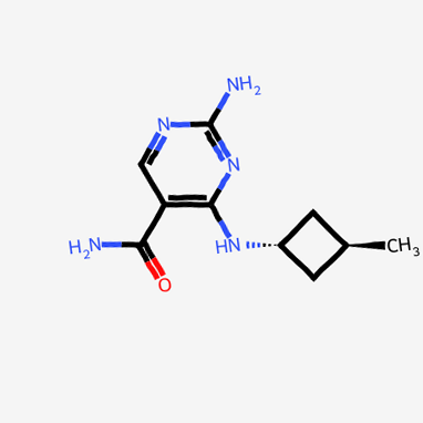 C[C@H]1C[C@H](Nc2nc(N)ncc2C(N)=O)C1